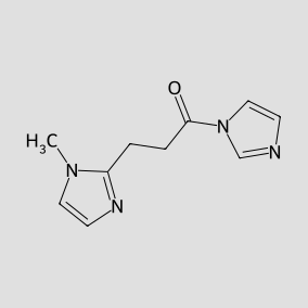 Cn1ccnc1CCC(=O)n1ccnc1